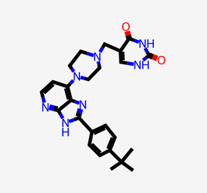 CC(C)(C)c1ccc(-c2nc3c(N4CCN(Cc5c[nH]c(=O)[nH]c5=O)CC4)ccnc3[nH]2)cc1